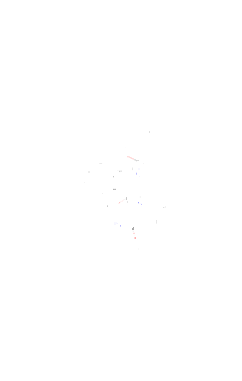 CNC(=O)[C@@H]1CCCN1C(=O)[C@@H](NC(=O)OC)C(C)(C)OC